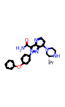 CC(C)[C@@H]1CN(c2ccnc3c(C(N)=O)n(-c4ccc(Oc5ccccc5)cc4)nc23)CCN1